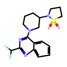 O=S1(=O)CCCN1C1CCCN(c2nc(C(F)F)nc3ccccc23)C1